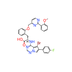 COc1ccccc1-c1nccc(COc2ccccc2C[C@@H](Nc2ncnn3cc(-c4ccc(F)cc4)c(Br)c23)C(=O)O)n1